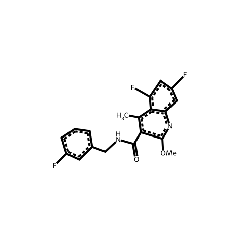 COc1nc2cc(F)cc(F)c2c(C)c1C(=O)NCc1cccc(F)c1